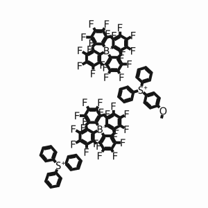 COc1ccc([S+](c2ccccc2)c2ccccc2)cc1.Fc1c(F)c(F)c([B-](c2c(F)c(F)c(F)c(F)c2F)(c2c(F)c(F)c(F)c(F)c2F)c2c(F)c(F)c(F)c(F)c2F)c(F)c1F.Fc1c(F)c(F)c([B-](c2c(F)c(F)c(F)c(F)c2F)(c2c(F)c(F)c(F)c(F)c2F)c2c(F)c(F)c(F)c(F)c2F)c(F)c1F.c1ccc([S+](c2ccccc2)c2ccccc2)cc1